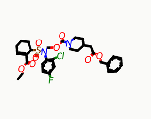 CCOC(=O)C1=CCCCC1S(=O)(=O)N(COC(=O)N1CCC(CC(=O)OCc2ccccc2)CC1)c1ccc(F)cc1Cl